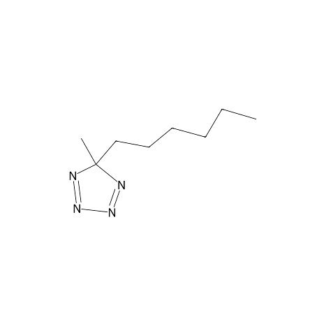 CCCCCCC1(C)N=NN=N1